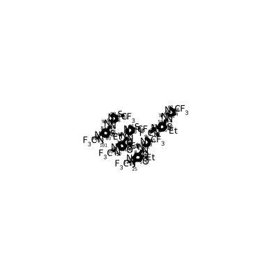 CCS(=O)(=O)c1cc2c(cc1-c1nc3cc(C(F)(F)F)cnc3n1C)nc(C(F)(F)F)n2C.CCS(=O)(=O)c1cc2c(cc1-c1nc3cc(SC(F)(F)F)cnc3n1C)nc(C(F)(F)F)n2C.CCSc1cc2c(cc1-c1nc3cc(C(F)(F)F)cnc3n1C)nc(C(F)(F)F)n2C.CCSc1cc2c(cc1-c1nc3cc(SC(F)(F)F)cnc3n1C)nc(C(F)(F)F)n2C